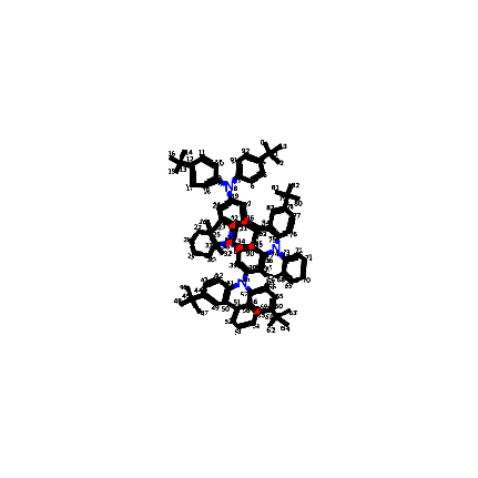 CC(C)(C)c1ccc(N(c2ccc(C(C)(C)C)cc2)c2ccc3c(c2)C2(C)CCCCC2(C)N3c2cc3c4c(c2)N(c2ccc(C(C)(C)C)cc2-c2ccccc2)c2ccc(C(C)(C)C)cc2B4c2ccccc2N3c2ccc(C(C)(C)C)cc2-c2ccccc2)cc1